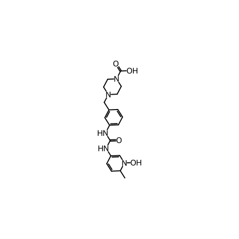 CC1C=CC(NC(=O)Nc2cccc(CN3CCN(C(=O)O)CC3)c2)=CN1O